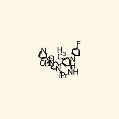 Cc1cc(Nc2ccc(F)cc2)c(C=N)cc1[C@H]1CN(S(=O)(=O)c2cnccc2C)CCN1CC(C)C